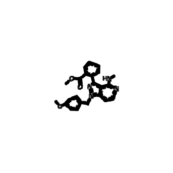 CNc1nccc2c1c(-c1ccccc1C(=O)OC)nn2Cc1ccc(OC)cc1